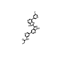 CCC(=O)Nc1cncc(-c2cnc3[nH]nc(-c4nc5c(-c6cncc(F)c6)cncc5[nH]4)c3c2)c1